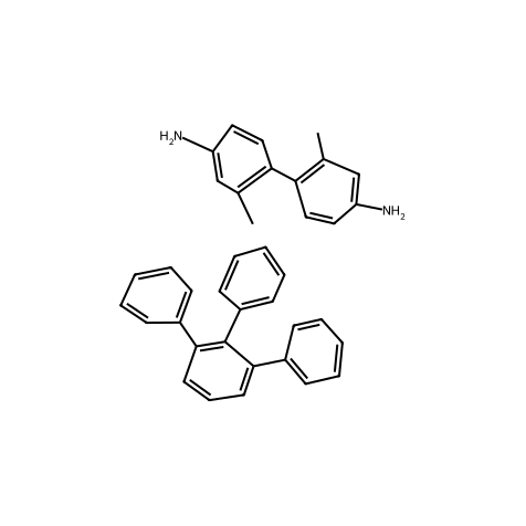 Cc1cc(N)ccc1-c1ccc(N)cc1C.c1ccc(-c2cccc(-c3ccccc3)c2-c2ccccc2)cc1